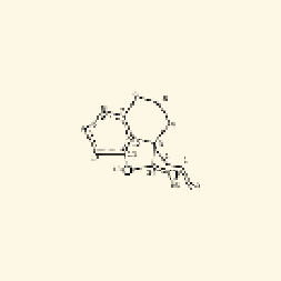 C=CCC12CCCc3cccc(c31)OC2=O